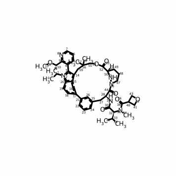 CCn1c(-c2cccnc2[C@H](C)OC)c2c3cc(ccc31)-c1cccc(c1)C[C@H](NC(=O)[C@H](C(C)C)N(C)C(=O)C1COC1)C(=O)N1CCC[C@H](N1)C(=O)OCC(C)(C)C2